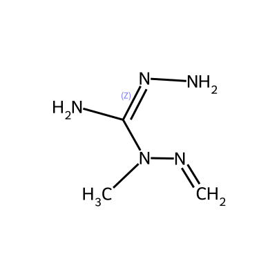 C=NN(C)/C(N)=N\N